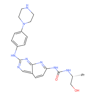 CC(C)[C@H](CO)NC(=O)Nc1ccc2cnc(Nc3ccc(N4CCNCC4)cc3)nc2n1